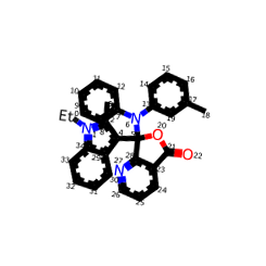 CCn1c(C)c(C2(N(c3ccccc3)c3cccc(C)c3)OC(=O)c3cccnc32)c2ccccc21